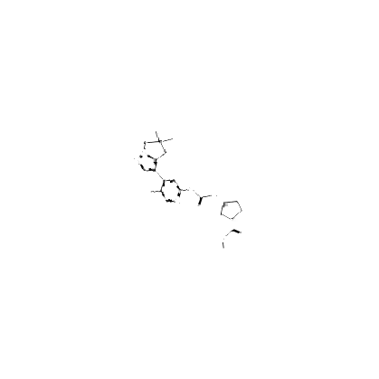 CNC(=O)[C@H]1CC[C@@H](NC(=O)Nc2cc(-c3cnn4c3CC(C)(C)C4)c(Cl)cn2)C1